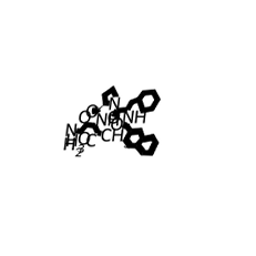 CC(C)C(NC(=O)[C@@H]1CCCN1C(=O)C(CC1CCCCC1)NC(=O)c1ccc2ccccc2c1)C(=O)C(N)=O